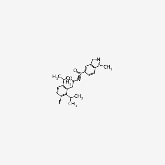 CC(C)c1ccc(F)c(C(C)C)c1CC(=O)/N=[SH](=O)/c1ccc2c(cnn2C)c1